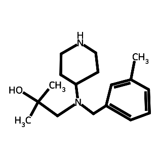 Cc1cccc(CN(CC(C)(C)O)C2CCNCC2)c1